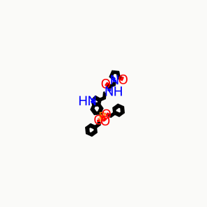 O=C(CN1CCCC1=O)NCCc1c[nH]c2ccc(P(=O)(OCc3ccccc3)OCc3ccccc3)cc12